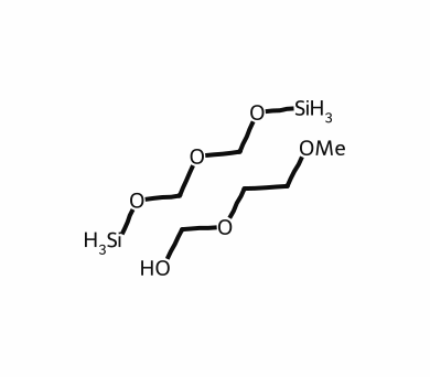 COCCOCO.[SiH3]OCOCO[SiH3]